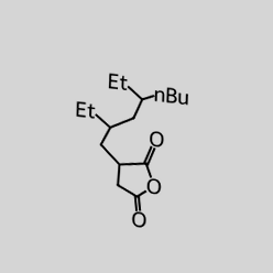 CCCCC(CC)CC(CC)CC1CC(=O)OC1=O